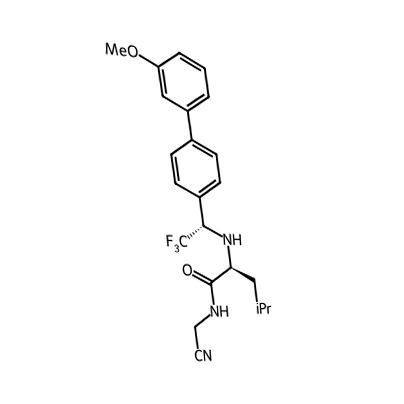 COc1cccc(-c2ccc([C@H](N[C@@H](CC(C)C)C(=O)NCC#N)C(F)(F)F)cc2)c1